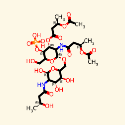 CC(=O)O[C@H](C)CC(=O)NC1[C@H](OCC2O[C@H](O)C(NC(=O)C[C@@H](C)O)[C@@H](O)[C@@H]2O)OC(CO)[C@@H](OP(=O)(O)O)[C@@H]1OC(=O)C[C@@H](C)OC(C)=O